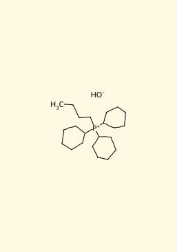 CCCC[P+](C1CCCCC1)(C1CCCCC1)C1CCCCC1.[OH-]